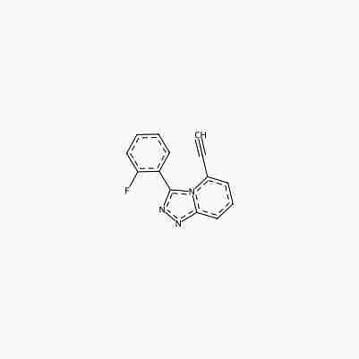 C#Cc1cccc2nnc(-c3ccccc3F)n12